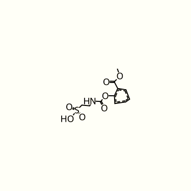 COC(=O)c1ccccc1OC(=O)NCCS(=O)(=O)O